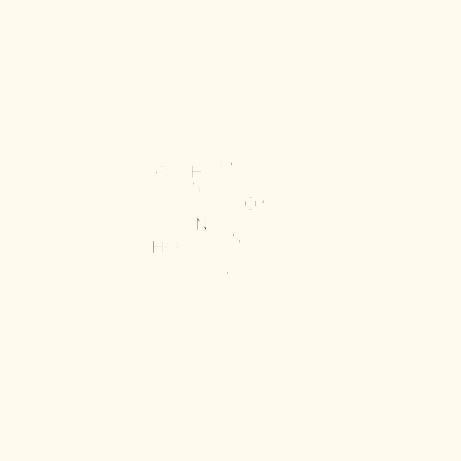 C=CCS(=O)(=O)N(O)[SH](=O)=O